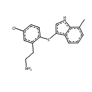 Cc1cccc2c(Sc3ccc(Cl)cc3CCN)c[nH]c12